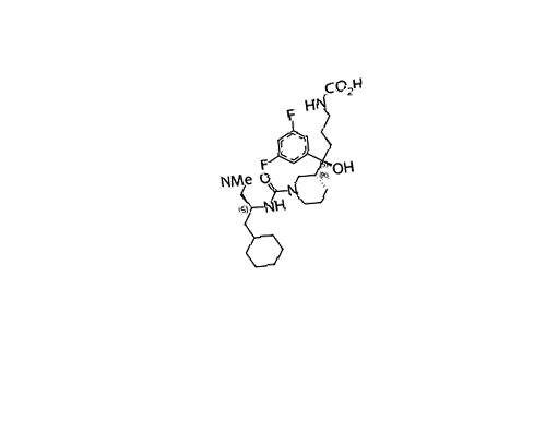 CNC[C@H](CC1CCCCC1)NC(=O)N1CCC[C@@H]([C@@](O)(CCCNC(=O)O)c2cc(F)cc(F)c2)C1